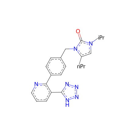 CCCc1cn(C(C)C)c(=O)n1Cc1ccc(-c2ncccc2-c2nnn[nH]2)cc1